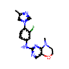 Cc1cn(-c2ccc(Nc3ncc4c(n3)N(C)[CH]CO4)cc2F)cn1